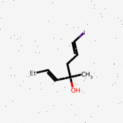 CCC=CC(C)(O)CC=CI